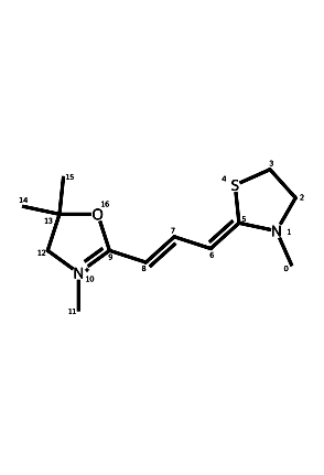 CN1CCSC1=CC=CC1=[N+](C)CC(C)(C)O1